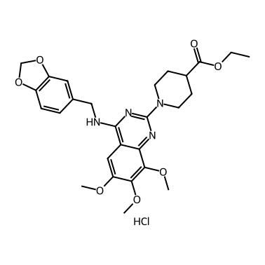 CCOC(=O)C1CCN(c2nc(NCc3ccc4c(c3)OCO4)c3cc(OC)c(OC)c(OC)c3n2)CC1.Cl